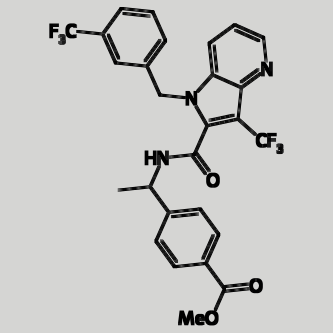 COC(=O)c1ccc(C(C)NC(=O)c2c(C(F)(F)F)c3ncccc3n2Cc2cccc(C(F)(F)F)c2)cc1